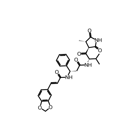 CC(C)[C@H](NC(=O)C[C@H](NC(=O)C=Cc1ccc2c(c1)OCO2)c1ccccc1)C(=O)[C@@H]1C(=O)NC(=O)[C@H]1C